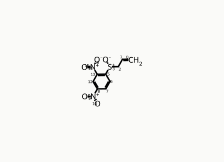 C=CC[S+]([O-])c1ccc([N+](=O)[O-])cc1[N+](=O)[O-]